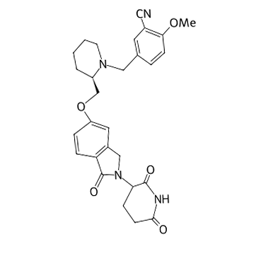 COc1ccc(CN2CCCC[C@@H]2COc2ccc3c(c2)CN(C2CCC(=O)NC2=O)C3=O)cc1C#N